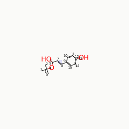 CC(C)(C)OC(O)/C=C/c1ccc(O)cc1